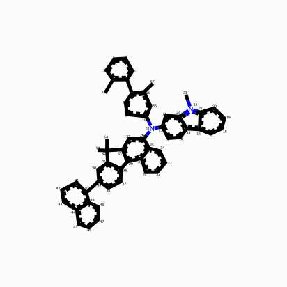 Cc1ccccc1-c1ccc(N(c2ccc3c4ccccc4n(C)c3c2)c2cc3c(c4ccccc24)-c2ccc(-c4cccc5ccccc45)cc2C3(C)C)cc1C